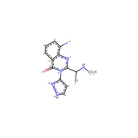 CCC(NC(=O)O)c1nc2c(I)cccc2c(=O)n1-c1cc[nH]n1